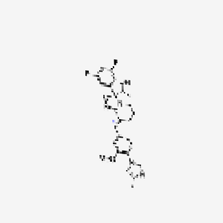 COc1cc(/C=C2\CCCN3C2=NOC3(c2cc(F)cc(F)c2)C(C)O)ccc1-n1cnc(C)c1